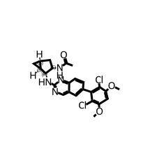 COc1cc(OC)c(Cl)c(-c2ccc3nc(N[C@@H]4[C@H]5C[C@H]5C[C@@H]4NC(C)=O)ncc3c2)c1Cl